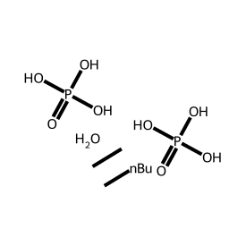 CC.CCCCC.O.O=P(O)(O)O.O=P(O)(O)O